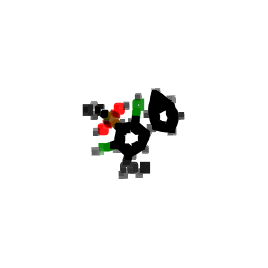 CS(=O)(=O)c1c(Cl)ccc(C(=O)O)c1F.c1cc2cc-2c1